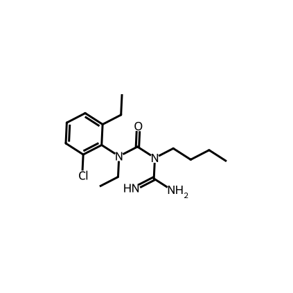 CCCCN(C(=N)N)C(=O)N(CC)c1c(Cl)cccc1CC